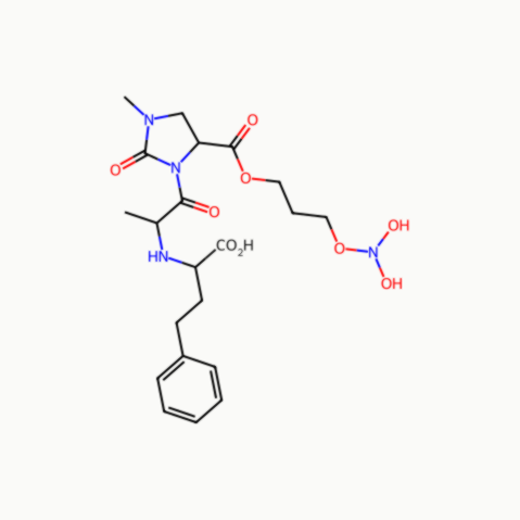 CC(NC(CCc1ccccc1)C(=O)O)C(=O)N1C(=O)N(C)CC1C(=O)OCCCON(O)O